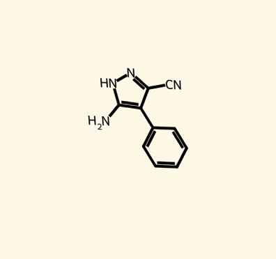 N#Cc1n[nH]c(N)c1-c1ccccc1